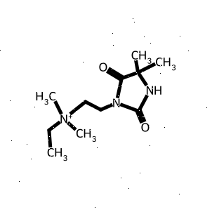 CC[N+](C)(C)CCN1C(=O)NC(C)(C)C1=O